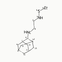 CCSNCCNC1C2CC3CC(C2)CC1C3